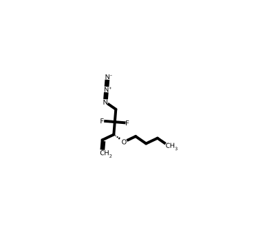 C=C[C@@H](OCCCC)C(F)(F)CN=[N+]=[N-]